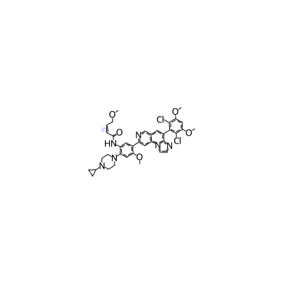 COC/C=C\C(=O)Nc1cc(-c2cc3c(cn2)cc(-c2c(Cl)c(OC)cc(OC)c2Cl)c2nccn23)c(OC)cc1N1CCN(C2CC2)CC1